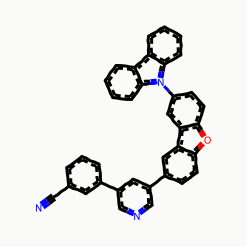 N#Cc1cccc(-c2cncc(-c3ccc4oc5ccc(-n6c7ccccc7c7ccccc76)cc5c4c3)c2)c1